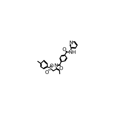 Cc1ccc(S(=O)(=O)Cc2nc(-c3ccc(C(=O)Nc4cccnc4)cc3)oc2C)cc1